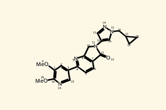 COc1cc(-c2ccc3c(n2)CN(c2cnn(CC4CC4)c2)C3=O)cnc1OC